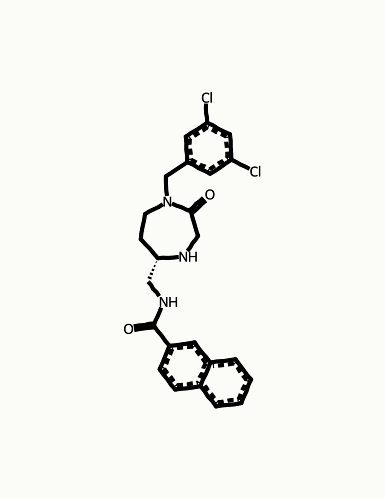 O=C(NC[C@@H]1CCN(Cc2cc(Cl)cc(Cl)c2)C(=O)CN1)c1ccc2ccccc2c1